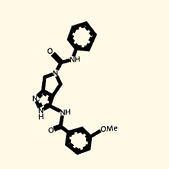 COc1cccc(C(=O)Nc2[nH]nc3c2CN(C(=O)Nc2ccccc2)C3)c1